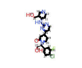 O=c1cc(-c2ccnc(Nc3ccncc3CO)n2)ccn1[C@H](CO)c1ccc(Cl)c(F)c1